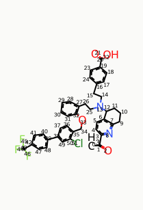 CC(=O)c1ccc2c(n1)CCCC2N(CCc1ccc(C(=O)O)cc1)CCc1ccccc1OCc1ccc(-c2ccc(C(F)(F)F)cc2)cc1Cl